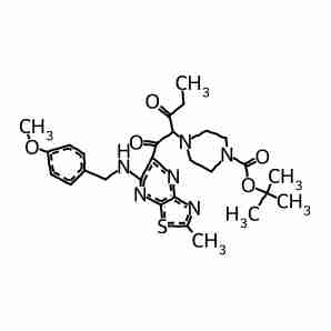 CCC(=O)C(C(=O)c1nc2nc(C)sc2nc1NCc1ccc(OC)cc1)N1CCN(C(=O)OC(C)(C)C)CC1